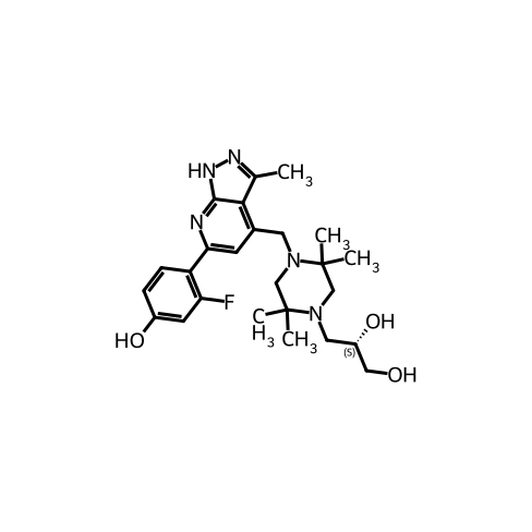 Cc1n[nH]c2nc(-c3ccc(O)cc3F)cc(CN3CC(C)(C)N(C[C@H](O)CO)CC3(C)C)c12